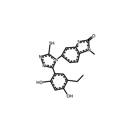 CCc1cc(-c2nnc(S)n2-c2ccc3c(c2)sc(=O)n3C)c(O)cc1O